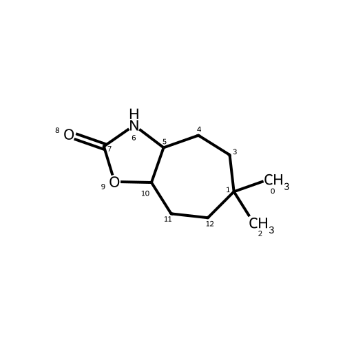 CC1(C)CCC2NC(=O)OC2CC1